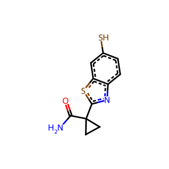 NC(=O)C1(c2nc3ccc(S)cc3s2)CC1